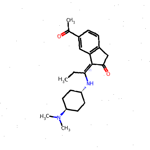 CC/C(N[C@H]1CC[C@H](N(C)C)CC1)=C1/C(=O)Cc2ccc(C(C)=O)cc21